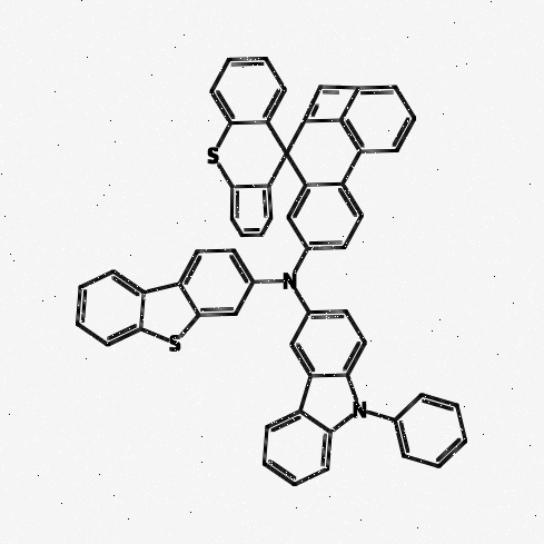 c1ccc(-n2c3ccccc3c3cc(N(c4ccc5c(c4)C4(c6ccccc6Sc6ccccc64)c4cccc6cccc-5c46)c4ccc5c(c4)sc4ccccc45)ccc32)cc1